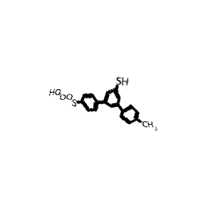 Cc1ccc(-c2cc(S)cc(-c3ccc(SOOO)cc3)c2)cc1